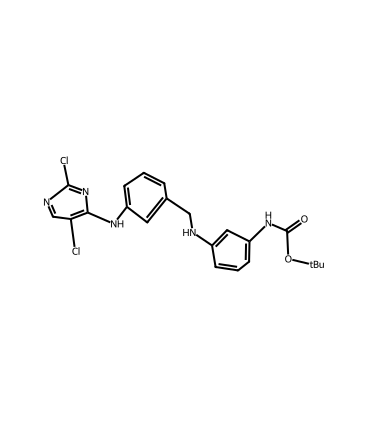 CC(C)(C)OC(=O)Nc1cccc(NCc2cccc(Nc3nc(Cl)ncc3Cl)c2)c1